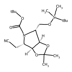 CC(C)(C)OC(=O)N1[C@H](CO[Si](C)(C)C(C)(C)C)[C@H]2OC(C)(C)O[C@H]2[C@@H]1CC#N